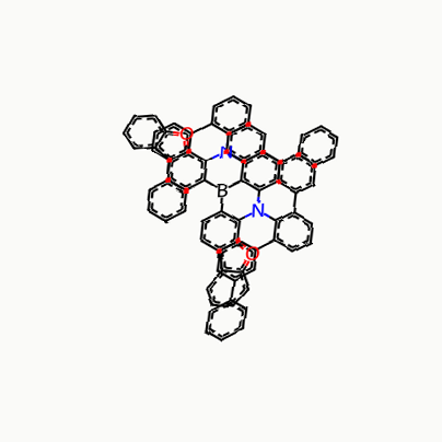 c1ccc(-c2cccc(-c3ccccc3N3c4cc(-c5ccccc5)cc5c4B(c4ccc6c(oc7ccccc76)c43)c3ccc4c(oc6ccccc64)c3N5c3c(-c4cccc(-c5ccccc5)c4)cccc3-c3cccc(-c4ccccc4)c3)c2)cc1